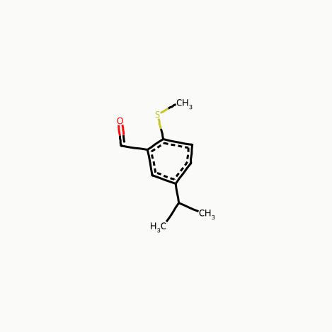 CSc1ccc(C(C)C)cc1C=O